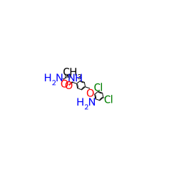 C[C@H](NC(=O)c1ccc(COc2c(N)cc(Cl)cc2Cl)cc1)C(N)=O